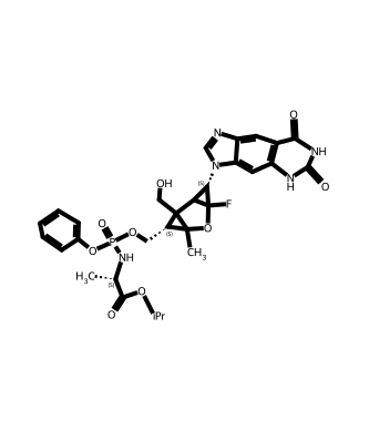 CC(C)OC(=O)[C@H](C)NP(=O)(OC[C@H]1C2(C)OC3(F)C([C@@H]3n3cnc4cc5c(=O)[nH]c(=O)[nH]c5cc43)C12CO)Oc1ccccc1